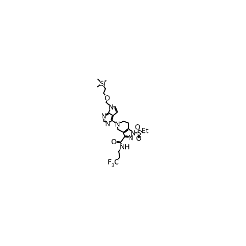 CCS(=O)(=O)n1nc(C(=O)NCCC(F)(F)F)c2c1CCN(c1ncnc3c1ccn3COCC[Si](C)(C)C)C2